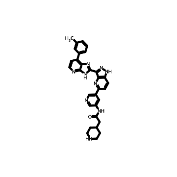 Cc1cccc(-c2ccnc3[nH]c(-c4n[nH]c5ccc(-c6cncc(NC(=O)CC7CCNCC7)c6)nc45)nc23)c1